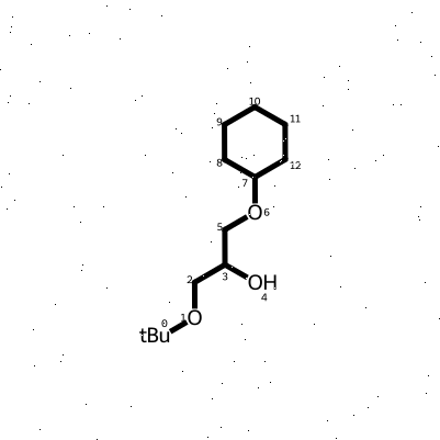 CC(C)(C)OCC(O)COC1CCCCC1